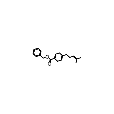 CC(C)=CCCC1=CCC(C(=O)OCc2ccccc2)=CC1